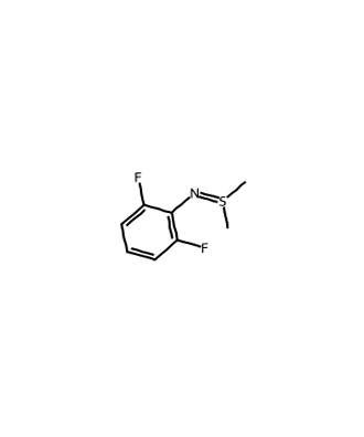 CS(C)=Nc1c(F)cccc1F